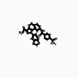 CC(=O)c1ccc(C(=O)Nc2ccc3c(c2)-c2c(c(C(N)=O)nn2-c2ccc4c(c2)OCO4)CC3)cc1